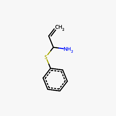 C=CC(N)Sc1ccccc1